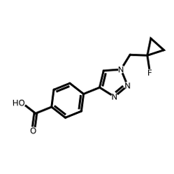 O=C(O)c1ccc(-c2cn(CC3(F)CC3)nn2)cc1